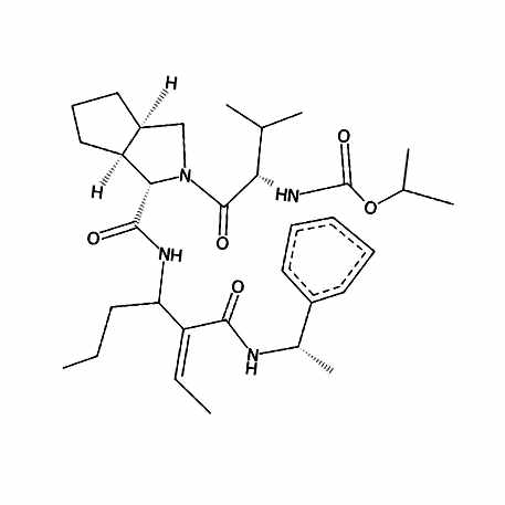 C/C=C(\C(=O)N[C@@H](C)c1ccccc1)C(CCC)NC(=O)[C@@H]1[C@H]2CCC[C@H]2CN1C(=O)[C@@H](NC(=O)OC(C)C)C(C)C